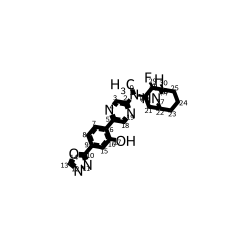 CN(c1cnc(-c2ccc(-c3nnco3)cc2O)cn1)[C@@H]1CC2CCC[C@H](N2)[C@@H]1F